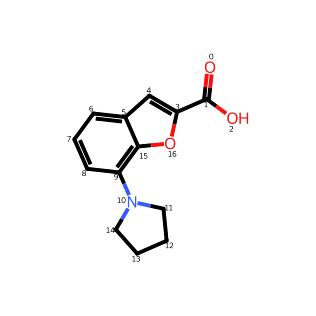 O=C(O)c1cc2cccc(N3CCCC3)c2o1